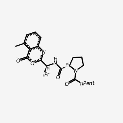 CCCCCC(=O)N1CCC[C@H]1C(=O)N[C@H](c1nc2cccc(C)c2c(=O)o1)C(C)C